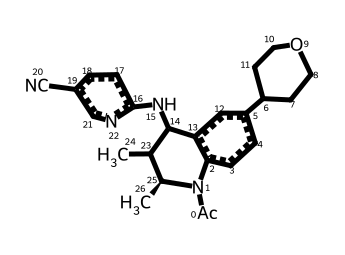 CC(=O)N1c2ccc(C3CCOCC3)cc2C(Nc2ccc(C#N)cn2)C(C)[C@@H]1C